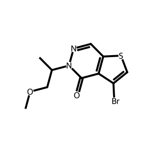 COCC(C)n1ncc2scc(Br)c2c1=O